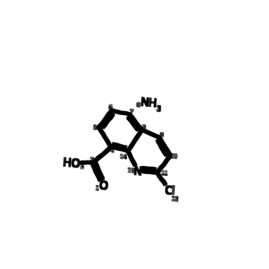 N.O=C(O)c1cccc2ccc(Cl)nc12